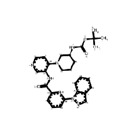 CC(C)(C)OC(=O)N[C@H]1CCCN(c2ccncc2NC(=O)c2cccc(-n3ncc4ccccc43)n2)C1